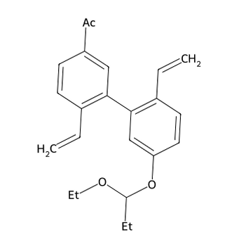 C=Cc1ccc(OC(CC)OCC)cc1-c1cc(C(C)=O)ccc1C=C